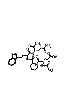 NC(=O)CC[C@H](NC(=O)[C@H](CCc1csc2ccccc12)NC(=O)[C@@H]1CCCCN1C(=O)[C@H](CCC(=O)O)NC(=O)CCl)C(N)=O